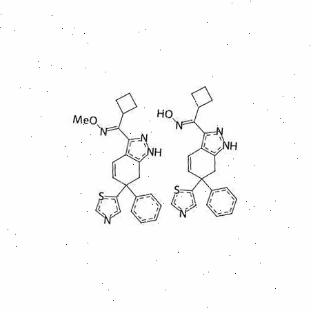 CON=C(c1n[nH]c2c1C=CC(c1ccccc1)(c1cncs1)C2)C1CCC1.ON=C(c1n[nH]c2c1C=CC(c1ccccc1)(c1cncs1)C2)C1CCC1